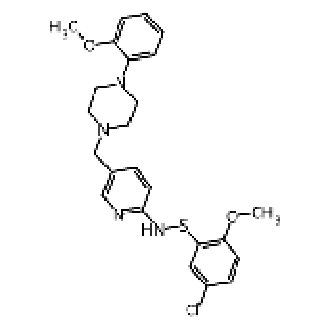 COc1ccc(Cl)cc1SNc1ccc(CN2CCN(c3ccccc3OC)CC2)cn1